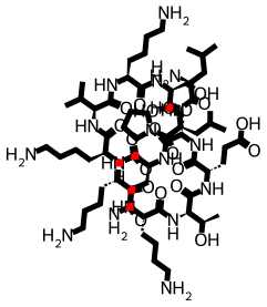 CC(C)C[C@H](NC(=O)[C@@H](N)CC(C)C)C(=O)N1CCC[C@H]1C(=O)N[C@@H](CCCCN)C(=O)N[C@@H](CCCCN)C(=O)N[C@H](C(=O)N[C@@H](CCC(=O)O)C(=O)N[C@@H](CO)C(=O)N[C@@H](CCC(N)=O)C(=O)N[C@@H](CCCCN)C(=O)N[C@H](C(=O)N[C@@H](CCCCN)C(=O)N[C@@H](CO)C(=O)O)C(C)C)[C@@H](C)O